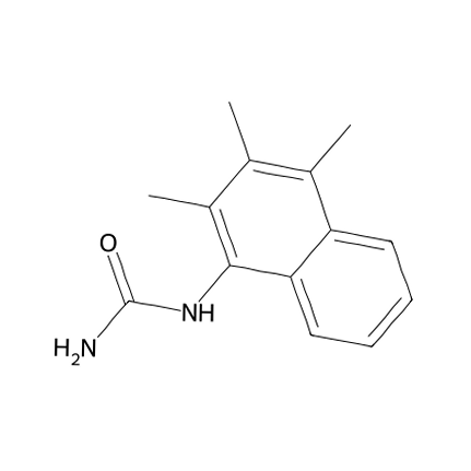 Cc1c(C)c(NC(N)=O)c2ccccc2c1C